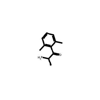 Cc1cccc(C)c1C(=O)C(C)P